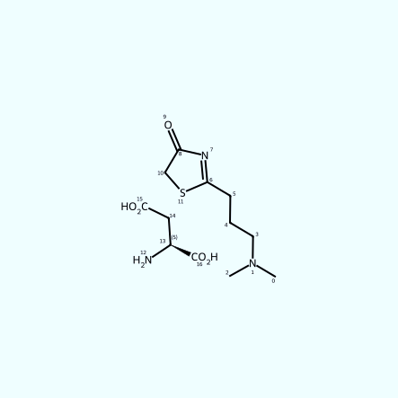 CN(C)CCCC1=NC(=O)CS1.N[C@@H](CC(=O)O)C(=O)O